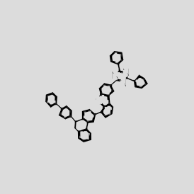 c1ccc(-c2ccc(C3Cc4ccccc4-c4cc(-c5cccc6c5sc5ccc(-c7nc(-c8ccccc8)nc(-c8ccccc8)n7)cc56)ccc43)cc2)cc1